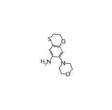 Nc1cc2c(cc1N1CCOCC1)OCCS2